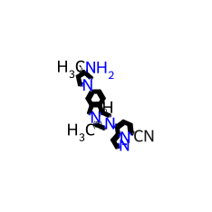 C[C@@H]1CN(c2ccc(C#N)n3nccc23)C[C@@H]2c3ccc(N4CC[C@@](C)(N)C4)cc3CN12